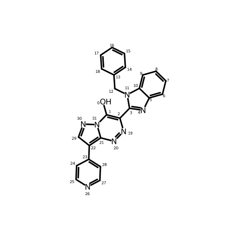 Oc1c(-c2nc3ccccc3n2Cc2ccccc2)nnc2c(-c3ccncc3)cnn12